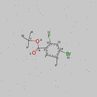 Cc1cc(C(=O)OC(C)(C)C)c(F)cc1Br